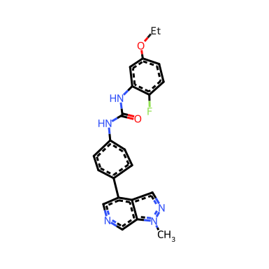 CCOc1ccc(F)c(NC(=O)Nc2ccc(-c3cncc4c3cnn4C)cc2)c1